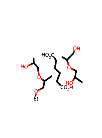 CC(O)COC(C)CO.CCOCC(C)OCC(C)O.O=C(O)CCCCC(=O)O